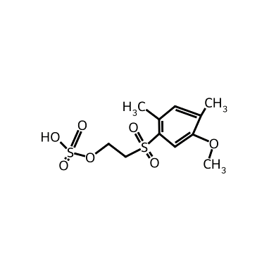 COc1cc(S(=O)(=O)CCOS(=O)(=O)O)c(C)cc1C